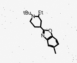 CCC1CC(c2nc3cc(C)ccc3o2)CCN1C(C)(C)C